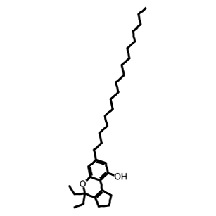 CCCCCCCCCCCCCCCCCCc1cc(O)c2c(c1)OC(CC)(CC)C1=C2CCC1